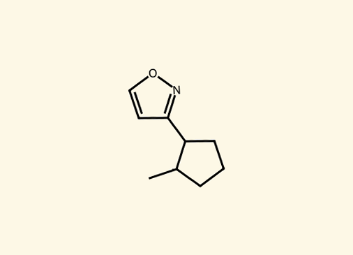 C[C]1CCCC1c1ccon1